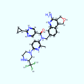 Cc1nc(N2CCNC(C(F)(F)F)C2)ccc1N(Cc1ccc2c3c(c(N)nc2c1)COC3)C(=O)c1cnc(C2CC2)nc1